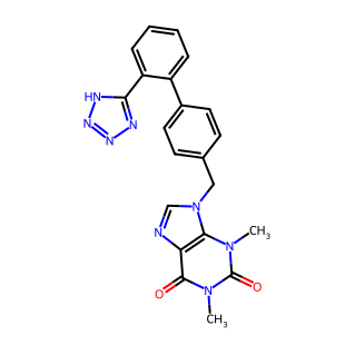 Cn1c(=O)c2ncn(Cc3ccc(-c4ccccc4-c4nnn[nH]4)cc3)c2n(C)c1=O